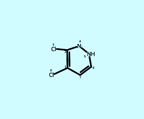 ClC1=C(Cl)[N]NC=C1